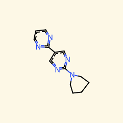 c1cnc(-c2cnc(N3CCCCC3)nc2)nc1